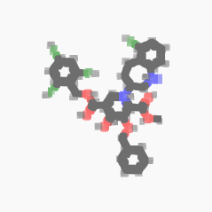 COC(=O)c1c(OCc2ccccc2)c(=O)c(C(=O)OCc2c(F)cc(F)cc2F)cn1C1CCc2c(F)cccc2NC1